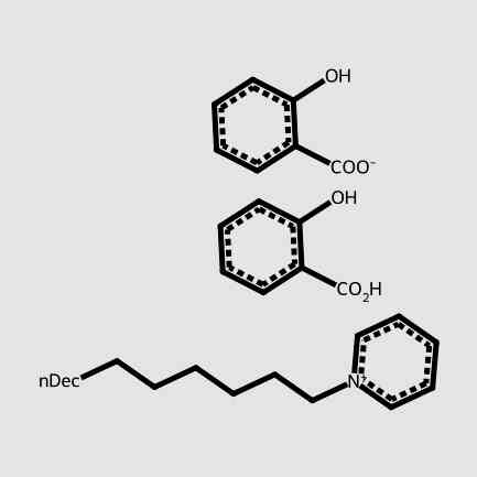 CCCCCCCCCCCCCCCC[n+]1ccccc1.O=C(O)c1ccccc1O.O=C([O-])c1ccccc1O